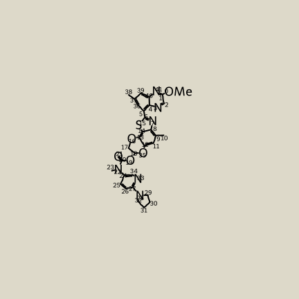 COc1cnc2c(-c3nc4c(C)cc5c(c4s3)OCC(OC(=O)N(C)c3ccc(N4CCCC4)nc3)O5)cc(C)cc2n1